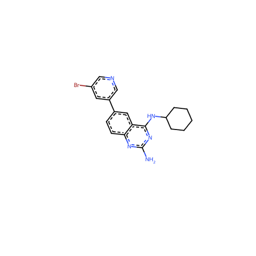 Nc1nc(NC2CCCCC2)c2cc(-c3cncc(Br)c3)ccc2n1